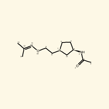 CC(=O)N[C@@H]1CCN(CCON=C(C)C)C1